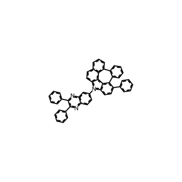 c1ccc(-c2ccc3c4c2-c2ccccc2-c2cccc5ccc(c4c25)n3-c2ccc3nc(-c4ccccc4)c(-c4ccccc4)nc3c2)cc1